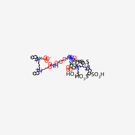 CN(C(=O)CCCCc1cccc(C(=C\C=C2\N(CCCS(=O)(=O)O)c3ccc4c(S(=O)(=O)O)cc(S(=O)(=O)O)cc4c3C2(C)C)/C=C/C2=[N+](CCCS(=O)(=O)O)c3ccc4c(S(=O)(=O)[O-])cc(S(=O)(=O)O)cc4c3C2(C)C)c1)c1cn(CCOCCOCCOCCNC(=O)OCCCCCCN2/C(=C/C=C/C=C/C3=[N+](CCCCS(=O)(=O)[O-])c4ccc5ccccc5c4C3(C)C)C(C)(C)c3c2ccc2ccccc32)nn1